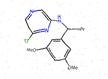 CCCC(Nc1cncc(Cl)n1)c1cc(OC)cc(OC)c1